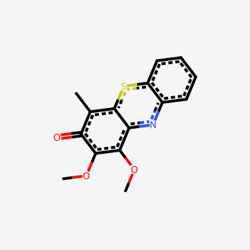 COc1c2nc3ccccc3sc-2c(C)c(=O)c1OC